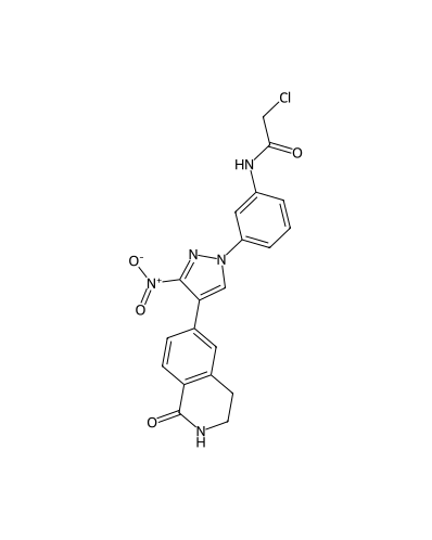 O=C(CCl)Nc1cccc(-n2cc(-c3ccc4c(c3)CCNC4=O)c([N+](=O)[O-])n2)c1